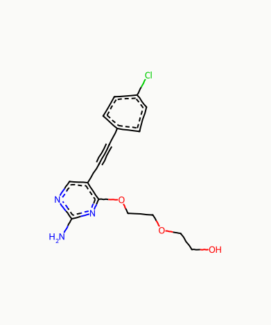 Nc1ncc(C#Cc2ccc(Cl)cc2)c(OCCOCCO)n1